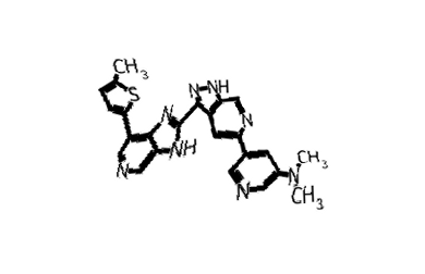 Cc1ccc(-c2cncc3[nH]c(-c4n[nH]c5cnc(-c6cncc(N(C)C)c6)cc45)nc23)s1